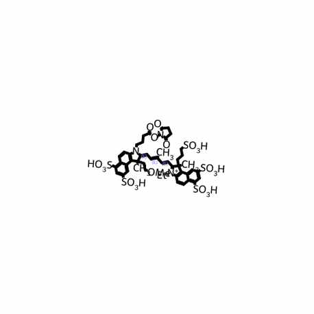 CC[N+]1=C(/C=C/C(C)=C/C=C2/N(CCCC(=O)ON3C(=O)CCC3=O)c3ccc4c(S(=O)(=O)O)cc(S(=O)(=O)O)cc4c3C2(C)CCOC)C(C)(CCCS(=O)(=O)O)c2c1ccc1c(S(=O)(=O)O)cc(S(=O)(=O)O)cc21